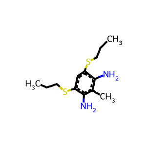 CCCSc1cc(SCCC)c(N)c(C)c1N